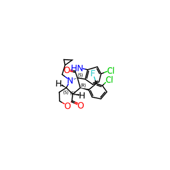 O=C1OCC[C@H]2[C@@H]1[C@H](c1cccc(Cl)c1F)[C@]1(C(=O)Nc3cc(Cl)ccc31)N2CC1CC1